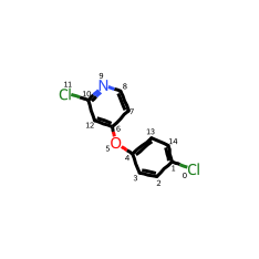 Clc1ccc(Oc2ccnc(Cl)c2)cc1